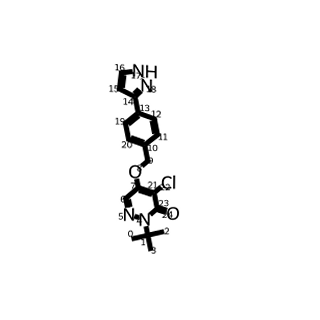 CC(C)(C)n1ncc(OCc2ccc(-c3cc[nH]n3)cc2)c(Cl)c1=O